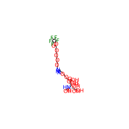 O=C(CO)N[C@@H](C[C@H](O)[C@H](O)CO)[C@@H](O)C[C@](O)(OCCOCCOCc1cn(CCOCCOCCOCCOCCC(=O)Oc2c(F)c(F)c(F)c(F)c2F)nn1)C(=O)O